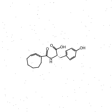 O=C(N[C@@H](Cc1ccc(O)cc1)C(=O)O)C1=C=CCCCCC1